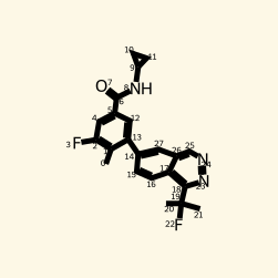 Cc1c(F)cc(C(=O)NC2CC2)cc1-c1ccc2c(C(C)(C)F)nncc2c1